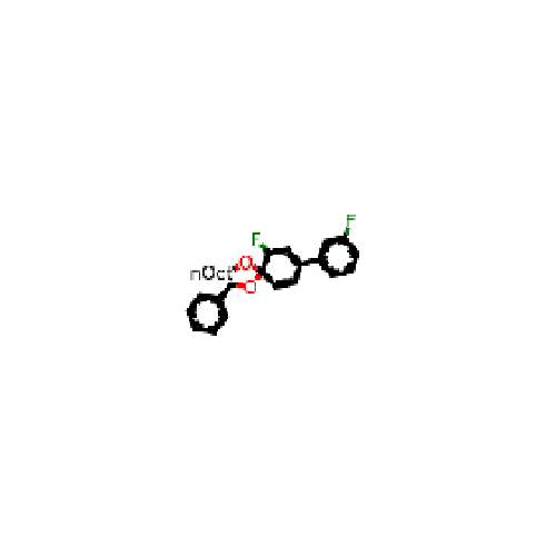 CCCCCCCCOC1(OCc2ccccc2)C=CC(c2cccc(F)c2)=CC1F